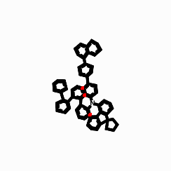 c1ccc(-c2ccccc2-c2ccccc2-c2ccccc2N(c2ccc(-c3ccc(-c4cccc5ccccc45)cc3)cc2)c2cccc3c2-c2ccccc2C32CCCC2)cc1